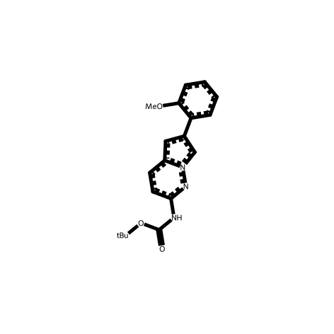 COc1ccccc1-c1cc2ccc(NC(=O)OC(C)(C)C)nn2c1